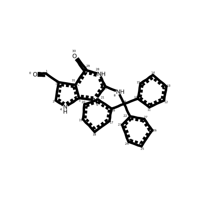 O=Cc1c[nH]c2nc(NC(c3ccccc3)(c3ccccc3)c3ccccc3)[nH]c(=O)c12